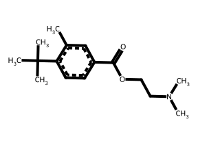 Cc1cc(C(=O)OCCN(C)C)ccc1C(C)(C)C